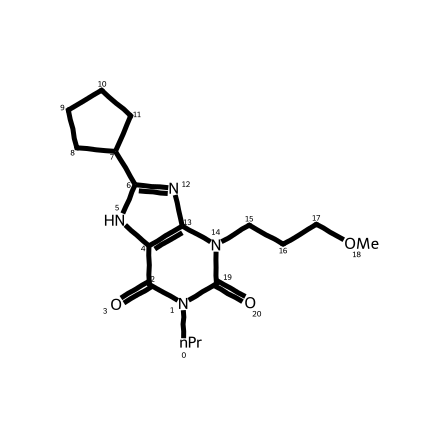 CCCn1c(=O)c2[nH]c(C3CCCC3)nc2n(CCCOC)c1=O